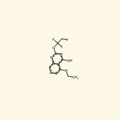 CCOc1cncc2nc(OC(F)(F)CF)nc(O)c12